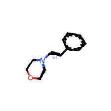 C(=C\N1CCOCC1)/c1ccccc1